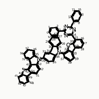 c1ccc(-c2nc(-c3ccccc3)nc(-c3cccc4c3oc3c(-n5c6ccccc6c6cc(-n7c8ccccc8c8c9sc%10ccccc%10c9ccc87)ccc65)cccc34)n2)cc1